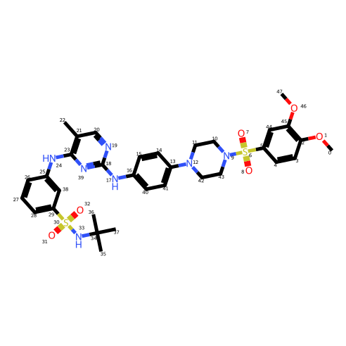 COc1ccc(S(=O)(=O)N2CCN(c3ccc(Nc4ncc(C)c(Nc5cccc(S(=O)(=O)NC(C)(C)C)c5)n4)cc3)CC2)cc1OC